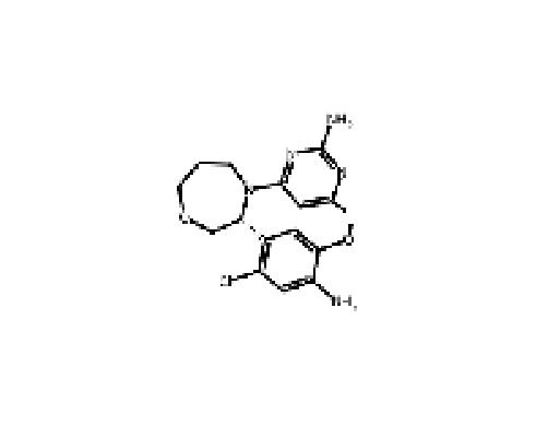 COc1cc([C@@H]2COCCCN2c2cc(C)nc(N)n2)c(Cl)cc1N